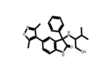 Cc1noc(C)c1-c1ccc2c(c1)C(NC(CO)C(C)C)(c1ccccc1)C(=O)N2